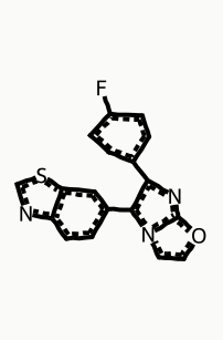 Fc1ccc(-c2nc3occn3c2-c2ccc3ncsc3c2)cc1